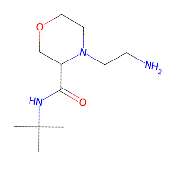 CC(C)(C)NC(=O)C1COCCN1CCN